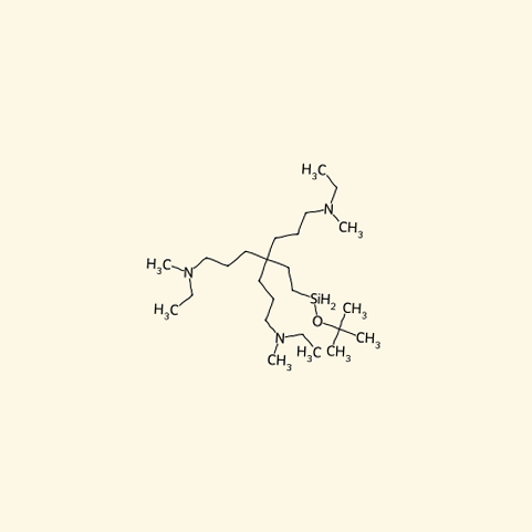 CCN(C)CCCC(CCCN(C)CC)(CCCN(C)CC)CC[SiH2]OC(C)(C)C